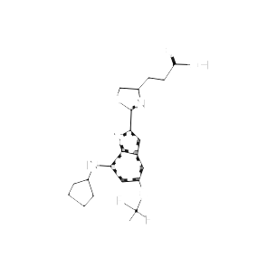 O=C(O)CCC1CSC(c2cc3cc(OC(F)(F)F)cc(NC4CCCC4)c3[nH]2)=N1